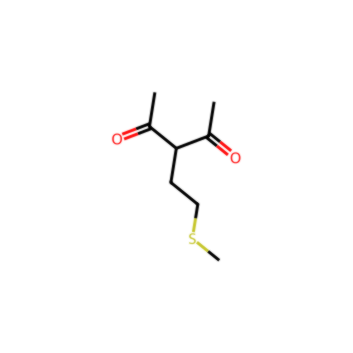 CSCCC(C(C)=O)C(C)=O